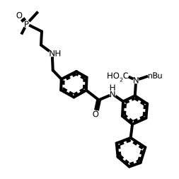 CCCCN(C(=O)O)c1ccc(-c2ccccc2)cc1NC(=O)c1ccc(CNCCP(C)(C)=O)cc1